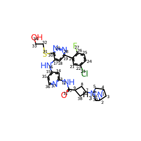 CN1C2CC1CN(C1CC(C(=O)Nc3cc(Nc4cc(-c5cc(Cl)ccc5F)nnc4SCCO)ccn3)C1)C2